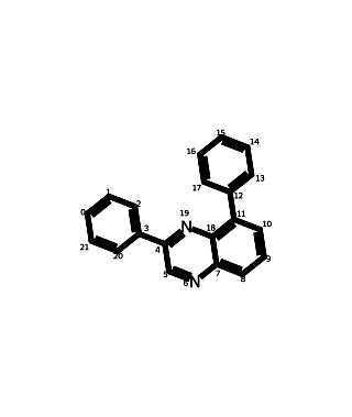 c1ccc(-c2cnc3cccc(-c4ccccc4)c3n2)cc1